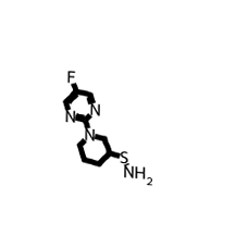 NSC1CCCN(c2ncc(F)cn2)C1